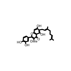 COc1c(-c2ccc(O)c(O)c2)oc2cc(O)c(C/C=C(\C)CCC=C(C)C)c(O)c2c1=O